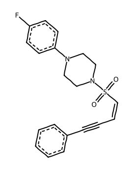 O=S(=O)(/C=C\C#Cc1ccccc1)N1CCN(c2ccc(F)cc2)CC1